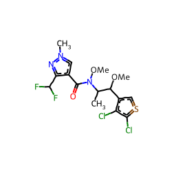 COC(c1csc(Cl)c1Cl)C(C)N(OC)C(=O)c1cn(C)nc1C(F)F